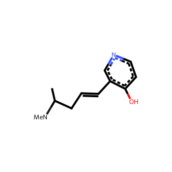 CNC(C)CC=Cc1cnccc1O